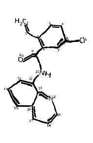 C=Cc1ccc(Cl)cc1C(=O)Nc1cccc2cccnc12